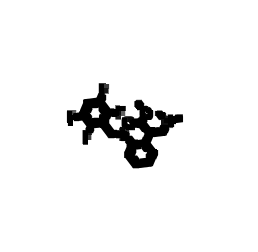 COC(=O)C(=CN(C)C)c1ccccc1SCc1c(F)c(F)cc(F)c1F